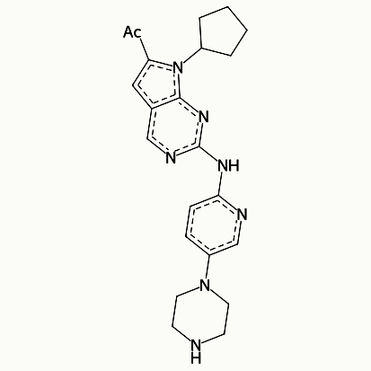 CC(=O)c1cc2cnc(Nc3ccc(N4CCNCC4)cn3)nc2n1C1CCCC1